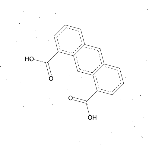 O=C(O)c1cccc2cc3cccc(C(=O)O)c3cc12